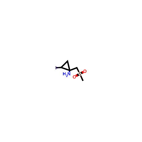 CS(=O)(=O)CC1(N)CC1I